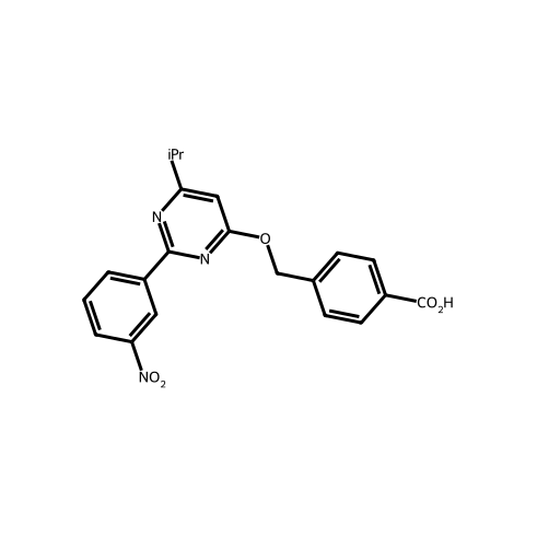 CC(C)c1cc(OCc2ccc(C(=O)O)cc2)nc(-c2cccc([N+](=O)[O-])c2)n1